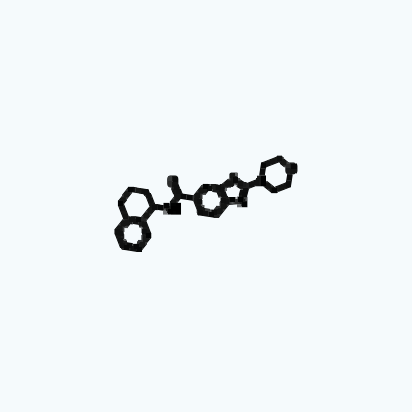 O=C(NC1CCCc2ccccc21)c1ccc2nc(N3CCOCC3)sc2c1